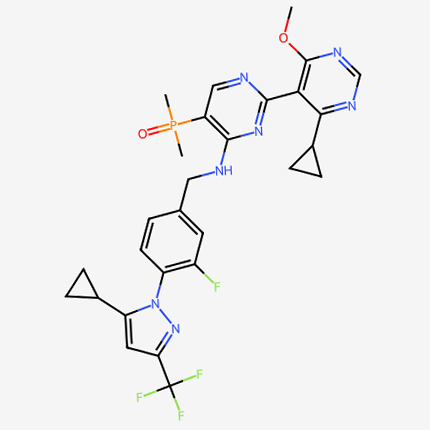 COc1ncnc(C2CC2)c1-c1ncc(P(C)(C)=O)c(NCc2ccc(-n3nc(C(F)(F)F)cc3C3CC3)c(F)c2)n1